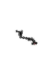 CN1CCC[C@@H]1c1cc2cnc(NC(=O)c3ccc(N4CCC(c5ccc(-c6cccc7c6CN(C6CCC(=O)N(COCC[Si](C)(C)C)C6=O)C7=O)cc5)CC4)nc3)cc2n1C(=O)OC(C)(C)C